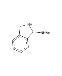 CC(=O)NC1NCc2ccccc21